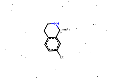 CCc1ccc2c(c1)[C@H](CC)NCC2